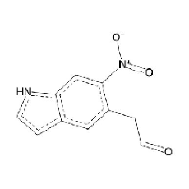 O=CCc1cc2cc[nH]c2cc1[N+](=O)[O-]